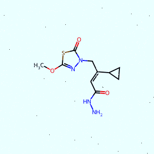 COc1nn(CC(=CC(=O)NN)C2CC2)c(=O)s1